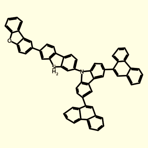 c1ccc2c(c1)cc(-c1ccc3c(c1)c1cc(-c4cc5ccccc5c5ccccc45)ccc1n3-c1ccc3c(c1)[SiH2]c1cc(-c4ccc5oc6ccccc6c5c4)ccc1-3)c1ccccc12